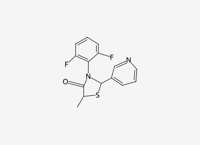 CC1SC(c2cccnc2)N(c2c(F)cccc2F)C1=O